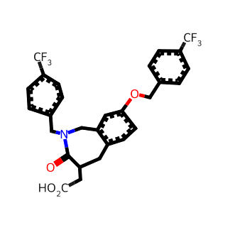 O=C(O)CC1Cc2ccc(OCc3ccc(C(F)(F)F)cc3)cc2CN(Cc2ccc(C(F)(F)F)cc2)C1=O